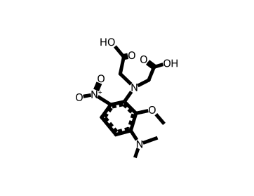 COc1c(N(C)C)ccc([N+](=O)[O-])c1N(CC(=O)O)CC(=O)O